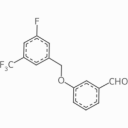 O=Cc1cccc(OCc2cc(F)cc(C(F)(F)F)c2)c1